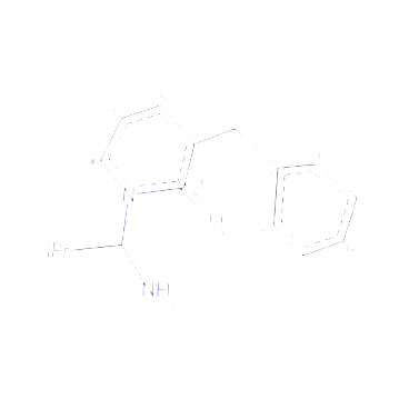 CC(C)C(N)n1cccc(Cc2ccccc2)c1=O